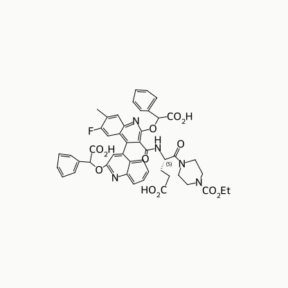 CCOC(=O)N1CCN(C(=O)[C@H](CCC(=O)O)NC(=O)c2c(OC(C(=O)O)c3ccccc3)nc3cc(C)c(F)cc3c2-c2cc(OC(C(=O)O)c3ccccc3)nc3ccccc23)CC1